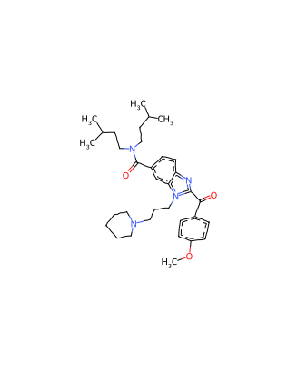 COc1ccc(C(=O)c2nc3ccc(C(=O)N(CCC(C)C)CCC(C)C)cc3n2CCCN2CCCCC2)cc1